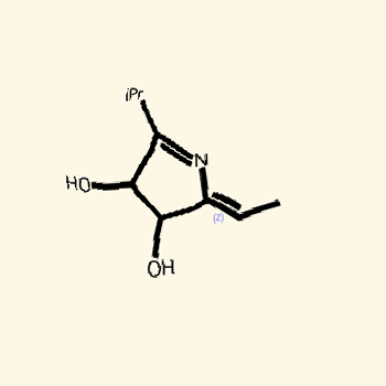 C/C=C1\N=C(C(C)C)C(O)C1O